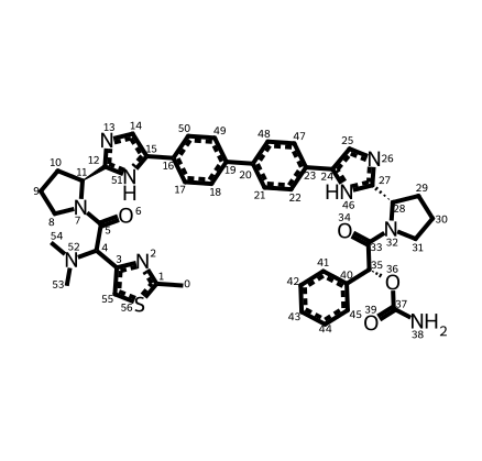 Cc1nc(C(C(=O)N2CCC[C@H]2c2ncc(-c3ccc(-c4ccc(-c5cnc([C@@H]6CCCN6C(=O)[C@H](OC(N)=O)c6ccccc6)[nH]5)cc4)cc3)[nH]2)N(C)C)cs1